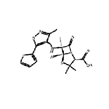 Cc1noc(-c2cccs2)c1N[C@@]1(C)C(=O)N2[C@@H](C(=O)O)C(C)(C)S[C@@H]21